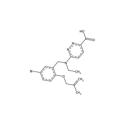 C=C(C)COc1ccc(Br)cc1CN(CC)c1ccc(C(=O)O)nn1